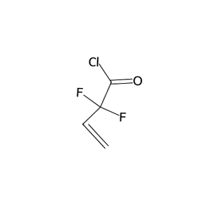 C=CC(F)(F)C(=O)Cl